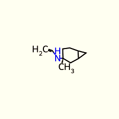 C=CN[C@]1(C)CCC2CC2C1